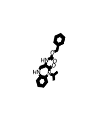 CC(C)N1C(=O)C(NC(=O)OCc2ccccc2)=CNc2ccccc21